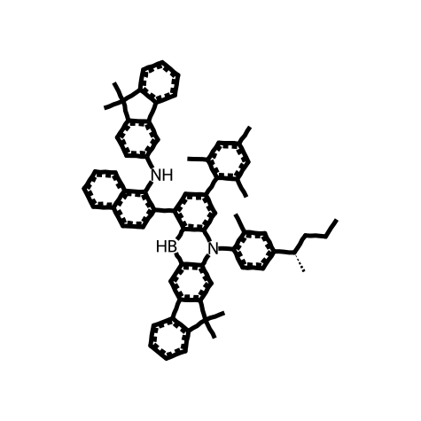 CCC[C@H](C)c1ccc(N2c3cc4c(cc3Bc3c(-c5ccc6ccccc6c5Nc5ccc6c(c5)-c5ccccc5C6(C)C)cc(-c5c(C)cc(C)cc5C)cc32)-c2ccccc2C4(C)C)c(C)c1